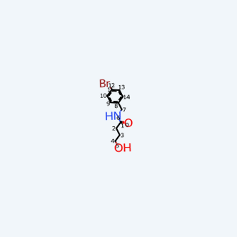 O=C(CCCO)NCc1ccc(Br)cc1